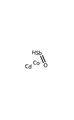 [Cd].[Co].[O]=[SbH]